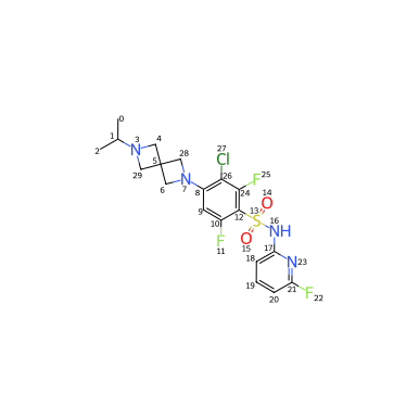 CC(C)N1CC2(CN(c3cc(F)c(S(=O)(=O)Nc4cccc(F)n4)c(F)c3Cl)C2)C1